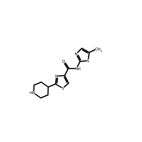 Cc1cnc(NC(=O)c2csc(C3CCNCC3)n2)s1